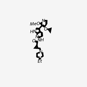 CCN1CCN(CC2CC2C(=O)Nc2ccc3c(-c4c(OC5CC5)ccnc4OC)c[nH]c3n2)CC1